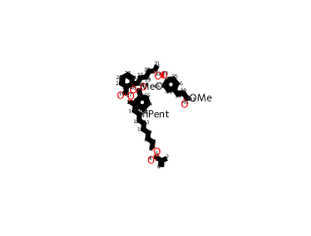 C=C(C)C(=O)OCCCCCCCCCCCOC(=O)C1C=CC=CC1(CCCCC(C)OOc1ccc(C=CC(=O)OC)cc1OC)OC(=O)c1ccc(CCCCC)cc1